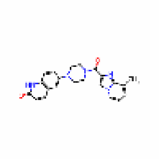 Cc1cccn2cc(C(=O)N3CCN(c4ccc5[nH]c(=O)ccc5c4)CC3)nc12